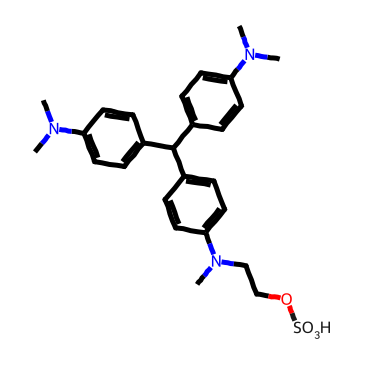 CN(C)c1ccc(C(c2ccc(N(C)C)cc2)c2ccc(N(C)CCOS(=O)(=O)O)cc2)cc1